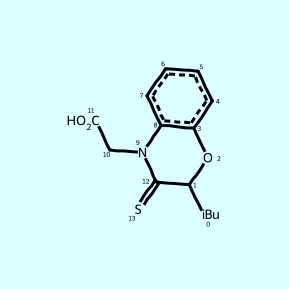 CCC(C)C1Oc2ccccc2N(CC(=O)O)C1=S